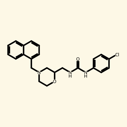 O=C(NCC1CN(Cc2cccc3ccccc23)CCO1)Nc1ccc(Cl)cc1